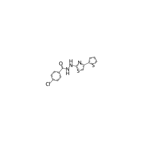 O=C(NNc1nc(-c2cccs2)cs1)c1ccc(Cl)cc1